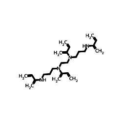 C=CC(=C)NCCCN(CCN(CCCNC(=C)C=C)C(=C)C=C)C(=C)C=C